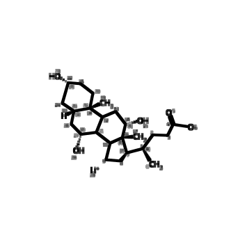 C[C@H](CCC(=O)[O-])[C@H]1CCC2C3C(C[C@H](O)[C@@]21C)[C@@]1(C)CC[C@@H](O)C[C@H]1C[C@H]3O.[Li+]